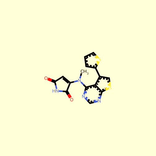 CN(C1=CC(=O)NC1=O)c1ncnc2scc(-c3cccs3)c12